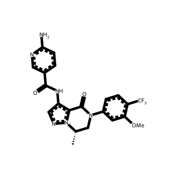 COc1cc(N2C[C@H](C)n3ncc(NC(=O)c4ccc(N)nc4)c3C2=O)ccc1C(F)(F)F